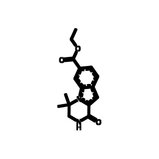 CCOC(=O)c1ccc2cc3n(c2c1)C(C)(C)CNC3=O